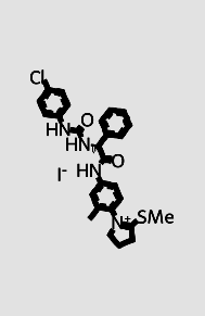 CSC1=[N+](c2ccc(NC(=O)[C@H](NC(=O)Nc3ccc(Cl)cc3)c3ccccc3)cc2C)CCC1.[I-]